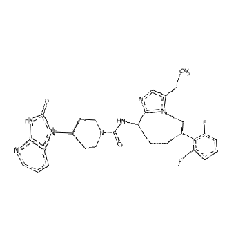 CCc1cnc2n1CC(c1c(F)cccc1F)CCC2NC(=O)N1CCC(n2c(=O)[nH]c3ncccc32)CC1